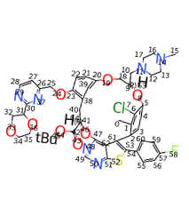 Cc1c2ccc(c1Cl)O[C@H](CN1CCN(C)CC1)COc1ccc(OCc3ccnc(C4COCCO4)n3)c(c1)C[C@H](C(=O)OC(C)(C)C)Oc1ncnc3sc(-c4ccc(F)cc4)c-2c13